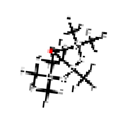 FC(F)(F)[Si](O[Si](C(F)(F)F)(C(F)(F)F)C(F)(F)F)(O[Si](C(F)(F)F)(C(F)(F)F)C(F)(F)F)C(F)(F)F